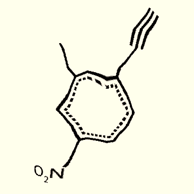 C#Cc1ccc([N+](=O)[O-])cc1C